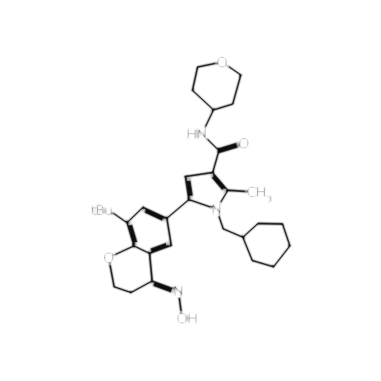 Cc1c(C(=O)NC2CCOCC2)cc(-c2cc3c(c(C(C)(C)C)c2)OCCC3=NO)n1CC1CCCCC1